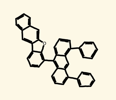 c1ccc(-c2cccc3c(-c4cccc5c4oc4cc6ccccc6cc45)c4cccc(-c5ccccc5)c4cc23)cc1